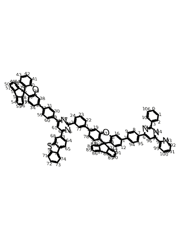 c1ccc(-c2nc(-c3ccc(-c4ccc5c(c4)Oc4cc(-c6cccc(-c7nc(-c8ccc(-c9ccc%10c(c9)Oc9ccccc9C%109c%10ccccc%10-c%10ccccc%109)cc8)cc(-c8ccc9c(c8)sc8ccccc89)n7)c6)ccc4C54c5ccccc5-c5ccccc54)cc3)cc(-c3ccccn3)n2)cc1